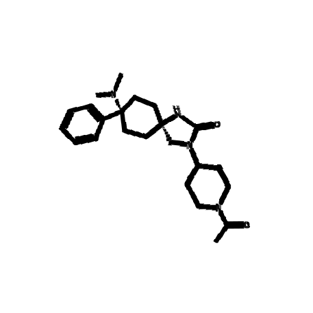 CC(=O)N1CCC(N2C[C@]3(CC[C@@](c4ccccc4)(N(C)C)CC3)NC2=O)CC1